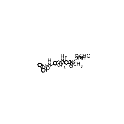 CC(CCC(=O)NC=O)N1Cc2c(ccc(NC(=O)Cc3ccc(CNC(=O)Cn4c5ccccc5c5cccnc54)cc3C(F)(F)F)c2F)C1=O